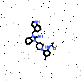 CC(=O)Nc1ccc(C)cc1N1CCC(n2c(=N)n(Cc3cccc4[nH]ccc34)c3ccccc32)CC1